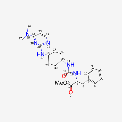 COC(=O)C(Cc1ccccc1)NC(=O)N[C@H]1CC[C@@H](Nc2nccc(N(C)C)n2)CC1